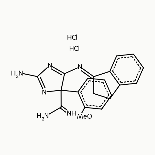 COc1ccccc1C1(C(=N)N)N=C(N)N=C1N=C1CCc2ccccc21.Cl.Cl